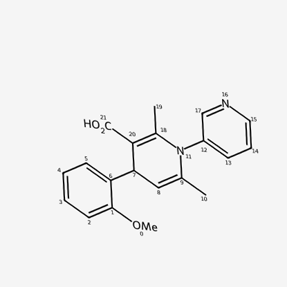 COc1ccccc1C1C=C(C)N(c2cccnc2)C(C)=C1C(=O)O